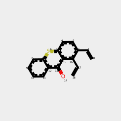 C=Cc1ccc2sc3ccccc3c(=O)c2c1C=C